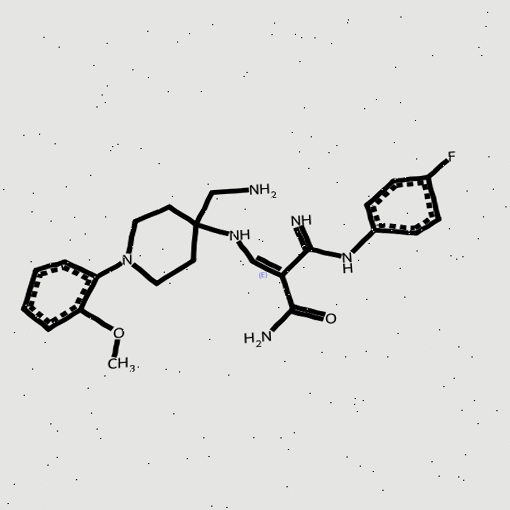 COc1ccccc1N1CCC(CN)(N/C=C(\C(=N)Nc2ccc(F)cc2)C(N)=O)CC1